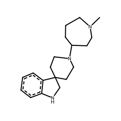 CN1CCCC(N2CCC3(CC2)CNc2ccccc23)CC1